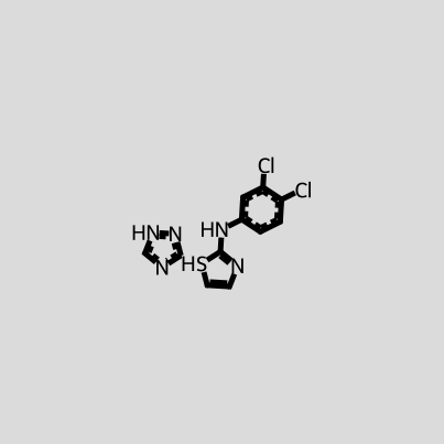 Clc1ccc(NC2=NC=C[SH]2c2nc[nH]n2)cc1Cl